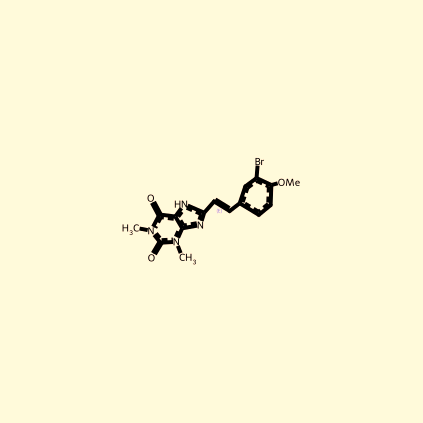 COc1ccc(/C=C/c2nc3c([nH]2)c(=O)n(C)c(=O)n3C)cc1Br